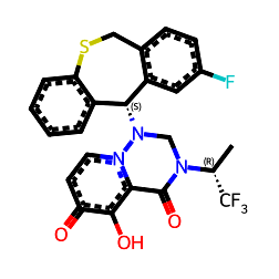 C[C@@H](N1CN([C@H]2c3cc(F)ccc3CSc3ccccc32)n2ccc(=O)c(O)c2C1=O)C(F)(F)F